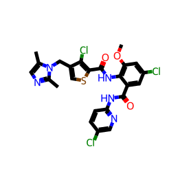 COc1cc(Cl)cc(C(=O)Nc2ccc(Cl)cn2)c1NC(=O)c1scc(Cn2c(C)cnc2C)c1Cl